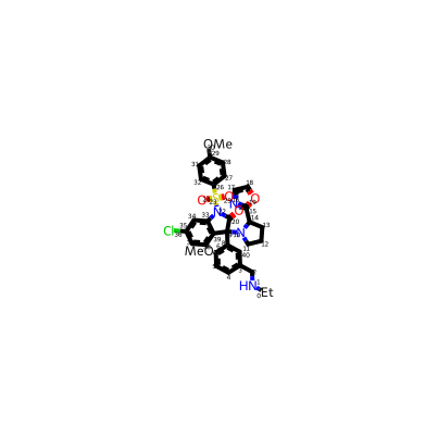 CCNCc1ccc(OC)c(C2(N3CCCC3c3ncco3)C(=O)N(S(=O)(=O)c3ccc(OC)cc3)c3cc(Cl)ccc32)c1